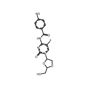 O=Nc1ccc(C(=O)Nc2nc(=O)n(C3COC(CO)O3)cc2F)cc1